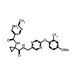 C=C/N=C\C(=C/N)C(=O)NC1(C(=O)NCc2cnc(Oc3ccc(OC)cc3C(F)(F)F)cn2)CC1